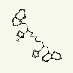 c1ccc2c(CC(CCOCCC(Cc3cccc4ccccc34)c3c[nH]cn3)c3c[nH]cn3)cccc2c1